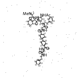 CN[C@@H](C)C(=O)N[C@H](C(=O)N1C[C@@H](NC(C)=O)C[C@H]1CN(CCc1ccccc1)C(=O)CNC(=O)c1ccc(-c2ccc(C(=O)NCC(=O)NCCc3ccccc3)cc2)cc1)C1CCCCC1